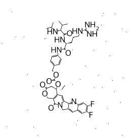 CC[C@@]1(OC(=O)OCc2ccc(NC(=O)[C@H](CCCNC(=N)N)NC(=O)[C@@H](NC(C)C)C(C)C)cc2)CC(=O)OCc2c1cc1n(c2=O)Cc2cc3cc(F)c(F)cc3nc2-1